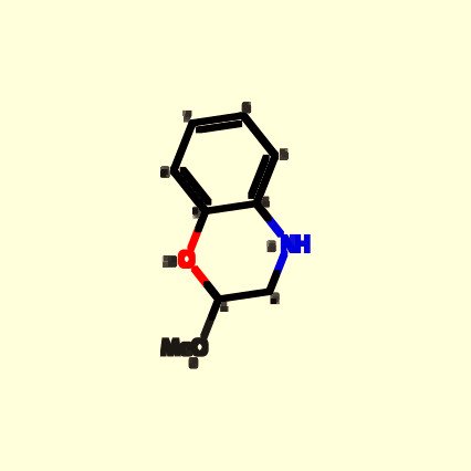 COC1CNc2ccccc2O1